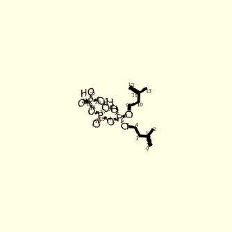 C=C(C)CCOP(=O)(OCCC(=C)C)OP(=O)(O)OP(=O)(O)O